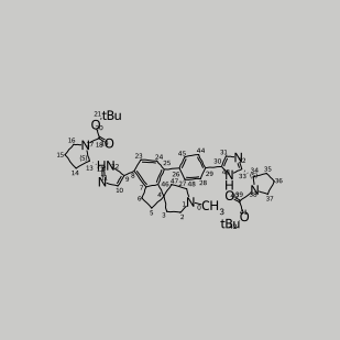 CN1CCC2(CCc3c(-c4cnc([C@@H]5CCCN5C(=O)OC(C)(C)C)[nH]4)ccc(-c4ccc(-c5cnc([C@@H]6CCCN6C(=O)OC(C)(C)C)[nH]5)cc4)c32)CC1